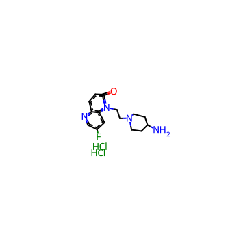 Cl.Cl.NC1CCN(CCn2c(=O)ccc3ncc(F)cc32)CC1